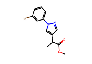 COC(=O)C(C)c1cnn(-c2cccc(Br)c2)c1